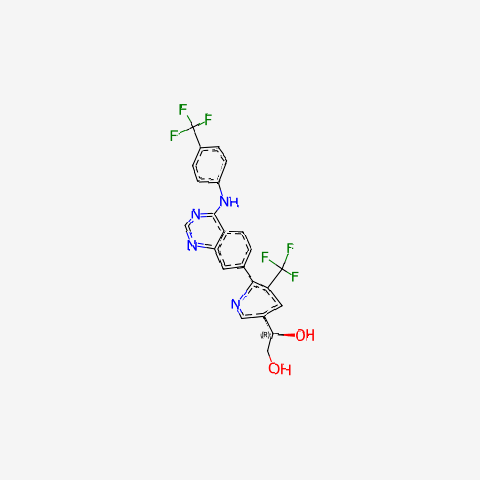 OC[C@H](O)c1cnc(-c2ccc3c(Nc4ccc(C(F)(F)F)cc4)ncnc3c2)c(C(F)(F)F)c1